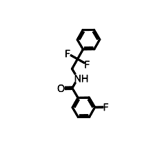 O=C(NCC(F)(F)c1ccccc1)c1cccc(F)c1